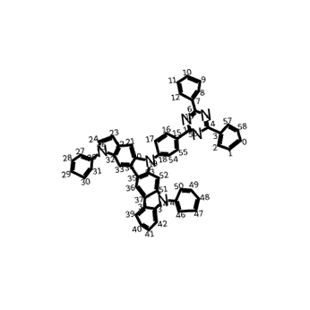 c1ccc(-c2nc(-c3ccccc3)nc(-c3ccc(-n4c5cc6ccn(-c7ccccc7)c6cc5c5cc6c7ccccc7n(-c7ccccc7)c6cc54)cc3)n2)cc1